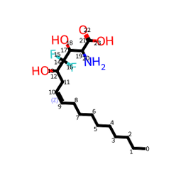 CCCCCCCCC/C=C\CC(O)C(F)(F)C(O)C(N)C(=O)O